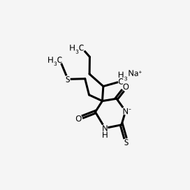 CCCC(C)C1(CCSC)C(=O)[N-]C(=S)NC1=O.[Na+]